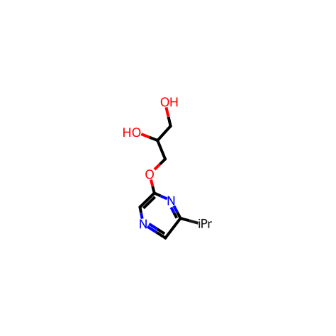 CC(C)c1cncc(OCC(O)CO)n1